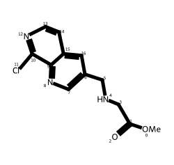 COC(=O)CNCc1cnc2c(Cl)nccc2c1